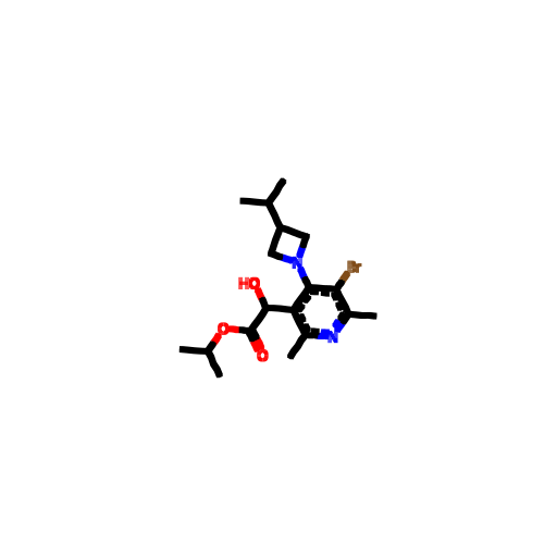 Cc1nc(C)c(C(O)C(=O)OC(C)C)c(N2CC(C(C)C)C2)c1Br